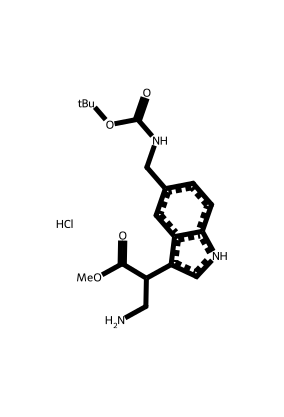 COC(=O)C(CN)c1c[nH]c2ccc(CNC(=O)OC(C)(C)C)cc12.Cl